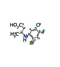 CC(CC(=O)O)Nc1cc(Cl)c(F)cc1Br